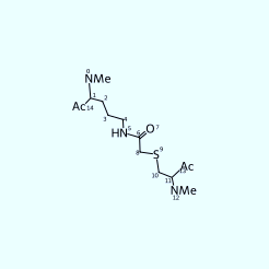 CNC(CCCNC(=O)CSCC(NC)C(C)=O)C(C)=O